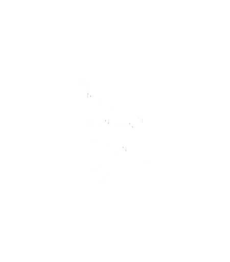 CCN(CC)CCN(Cc1cc(C(=O)Nc2ccc3c(c2)N(C)C(=O)CC3)ccc1-c1ccccc1)C1CCOCC1